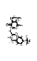 Cc1nn(CC(=O)N[C@@H](C)c2ccc(C(F)(F)F)cn2)c(=O)c2ncn(C)c12